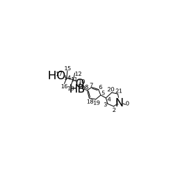 CN1CCC(C2C=CC(BOC(C)(C)C(C)(C)O)=CC2)CC1